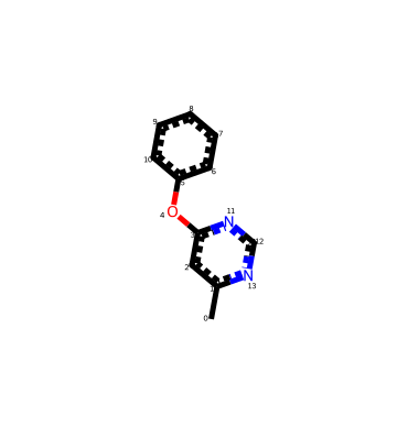 Cc1cc(Oc2ccccc2)n[c]n1